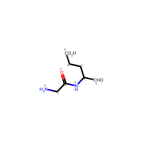 NCC(=O)NC(C=O)CCC(=O)O